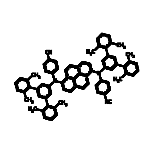 [C-]#[N+]c1ccc(N(c2cc(-c3c(C)cccc3C)cc(-c3c(C)cccc3C)c2)c2ccc3ccc4c(N(c5ccc(C#N)cc5)c5cc(-c6c(C)cccc6C)cc(-c6c(C)cccc6C)c5)ccc5ccc2c3c54)cc1